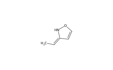 CC=C1C=CON1